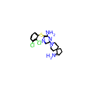 Nc1nc(N2CCC3(CCC[C@H]3N)CC2)cnc1Sc1cccc(Cl)c1Cl